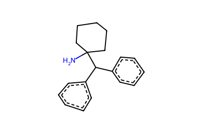 NC1(C(c2ccccc2)c2ccccc2)CCCCC1